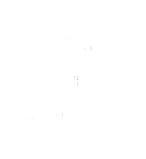 O=C(O)C(Cc1ccc(O)c(O)c1)Nc1ccccc1